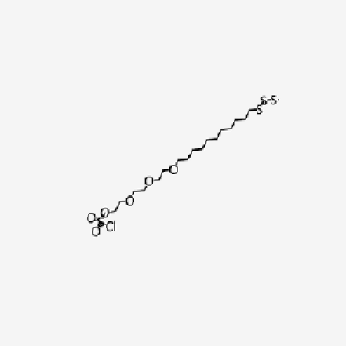 O=S(=O)(Cl)OCCOCCOCCOCCCCCCCCCCCSS[S]